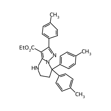 CCOC(=O)c1c(-c2ccc(C)cc2)nn2c1NCCC2(c1ccc(C)cc1)c1ccc(C)cc1